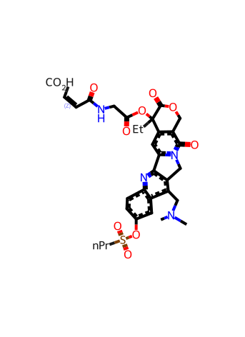 CCCS(=O)(=O)Oc1ccc2nc3c(c(CN(C)C)c2c1)Cn1c-3cc2c(c1=O)COC(=O)C2(CC)OC(=O)CNC(=O)/C=C\C(=O)O